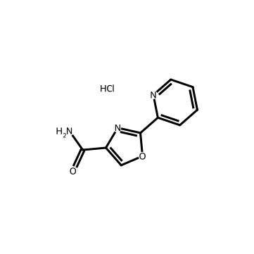 Cl.NC(=O)c1coc(-c2ccccn2)n1